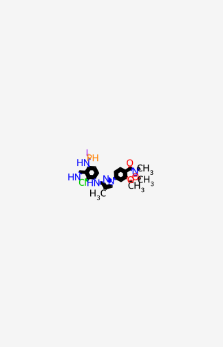 COc1cc(-n2cc(C)c(Nc3ccc(NPI)c(C=N)c3Cl)n2)ccc1C(=O)N(C)OC